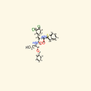 O=C(N[C@H](COCc1ccccc1)C(=O)O)/C(=C/c1ccc(Cl)c(Cl)c1)NC(=O)c1cc2ccccc2s1